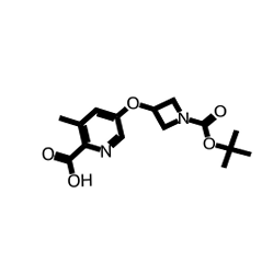 Cc1cc(OC2CN(C(=O)OC(C)(C)C)C2)cnc1C(=O)O